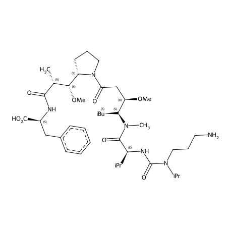 CC[C@H](C)[C@@H]([C@@H](CC(=O)N1CCC[C@H]1[C@H](OC)[C@@H](C)C(=O)N[C@@H](Cc1ccccc1)C(=O)O)OC)N(C)C(=O)[C@@H](NC(=O)N(CCCN)C(C)C)C(C)C